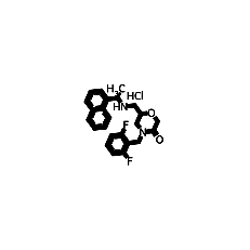 C[C@@H](NCC1CN(Cc2c(F)cccc2F)C(=O)CO1)c1cccc2ccccc12.Cl